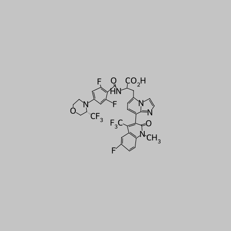 Cn1c(=O)c(-c2ccc(CC(NC(=O)c3c(F)cc(N4CCOC[C@H]4C(F)(F)F)cc3F)C(=O)O)n3ccnc23)c(C(F)(F)F)c2cc(F)ccc21